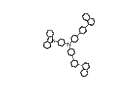 c1cc(-c2ccc(N(c3ccc(-c4ccc(-c5cccc6ccccc56)cc4)cc3)c3ccc(-n4c5ccccc5c5ccccc54)cc3)cc2)cc(-c2cccc3ccccc23)c1